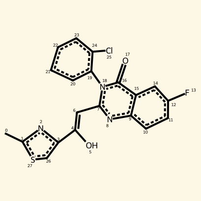 Cc1nc(/C(O)=C/c2nc3ccc(F)cc3c(=O)n2-c2ccccc2Cl)cs1